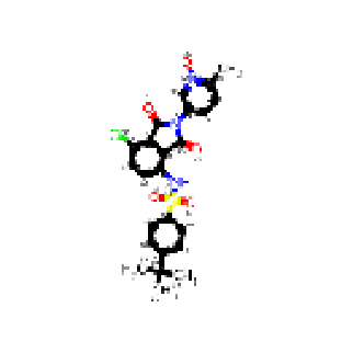 Cc1ccc(N2C(=O)c3c(Cl)ccc(NS(=O)(=O)c4ccc(C(C)(C)C)cc4)c3C2=O)c[n+]1[O-]